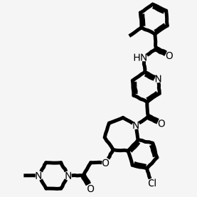 Cc1ccccc1C(=O)Nc1ccc(C(=O)N2CCCC(OCC(=O)N3CCN(C)CC3)c3cc(Cl)ccc32)cn1